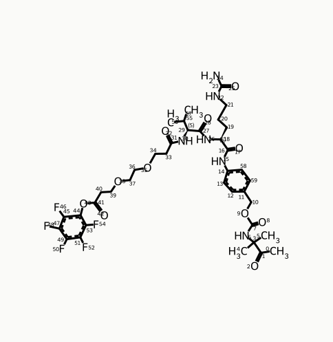 CC(=O)C(C)(C)NC(=O)OCc1ccc(NC(=O)[C@H](CCCNC(N)=O)NC(=O)[C@@H](NC(=O)CCOCCOCCC(=O)Oc2c(F)c(F)c(F)c(F)c2F)C(C)C)cc1